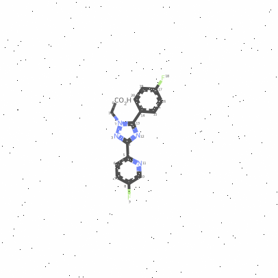 O=C(O)Cn1nc(-c2ccc(F)cn2)nc1-c1ccc(F)cc1